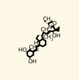 C=C1/C(=C\C=C2/CCC[C@]3(C)[C@@H]([C@H](C)/C=C/[C@H](O)C4(C5=N[C@H](CC)CO5)CC4)CC[C@@H]23)C[C@@H](O)C[C@@H]1O